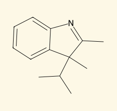 CC1=Nc2ccccc2C1(C)C(C)C